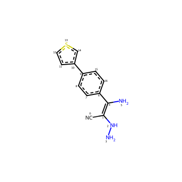 N#C/C(NN)=C(/N)c1ccc(-c2ccsc2)cc1